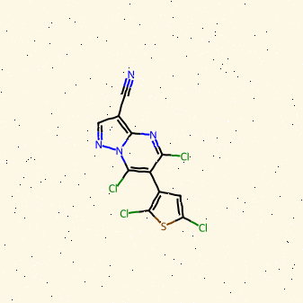 N#Cc1cnn2c(Cl)c(-c3cc(Cl)sc3Cl)c(Cl)nc12